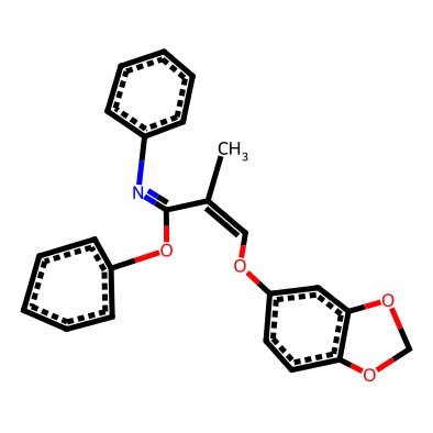 CC(=COc1ccc2c(c1)OCO2)C(=Nc1ccccc1)Oc1ccccc1